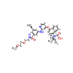 C#Cc1cc(Nc2cc(Oc3ccc(N(C(=O)O)C(C)(C)C)c4ccccc34)ccn2)cc(C(=O)NCCOCCOC)c1